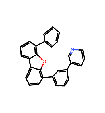 c1ccc(-c2cccc3c2oc2c(-c4cccc(-c5cccnc5)c4)cccc23)cc1